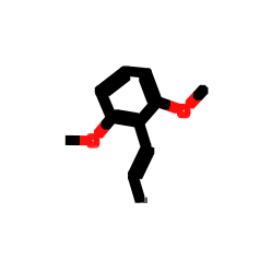 [CH2]C=Cc1c(OC)cccc1OC